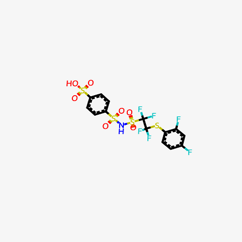 O=S(=O)(O)c1ccc(S(=O)(=O)NS(=O)(=O)C(F)(F)C(F)(F)Sc2ccc(F)cc2F)cc1